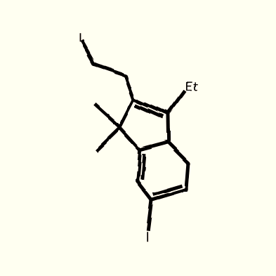 CCC1=C(CCI)C(C)(C)C2=CC(I)=CCC21